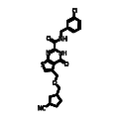 N#CC1CCC(COCc2csc3nc(C(=O)NCc4cccc(Cl)c4)[nH]c(=O)c23)C1